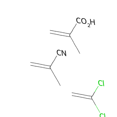 C=C(C)C#N.C=C(C)C(=O)O.C=C(Cl)Cl